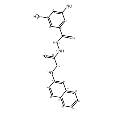 Nc1cc(N=O)cc(C(=O)NNC(=O)COc2ccc3ccccc3c2)c1